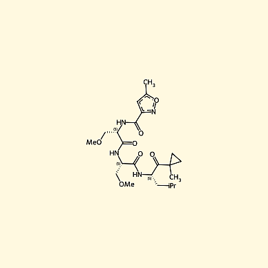 COC[C@H](NC(=O)c1cc(C)on1)C(=O)N[C@@H](COC)C(=O)N[C@@H](CC(C)C)C(=O)C1(C)CC1